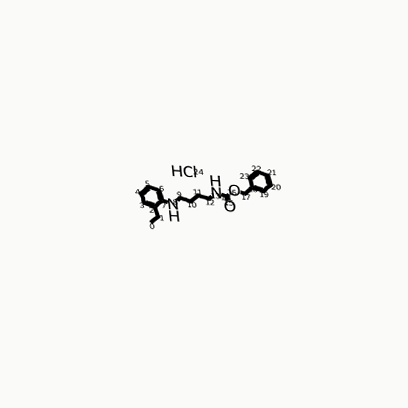 CCc1ccccc1NCCCCNC(=O)OCc1ccccc1.Cl